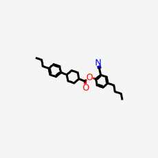 CCCCc1ccc(OC(=O)C2CCC(c3ccc(CCC)cc3)CC2)c(C#N)c1